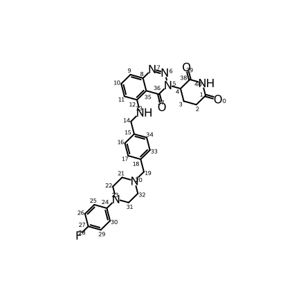 O=C1CCC(n2nnc3cccc(NCc4ccc(CN5CCN(c6ccc(F)cc6)CC5)cc4)c3c2=O)C(=O)N1